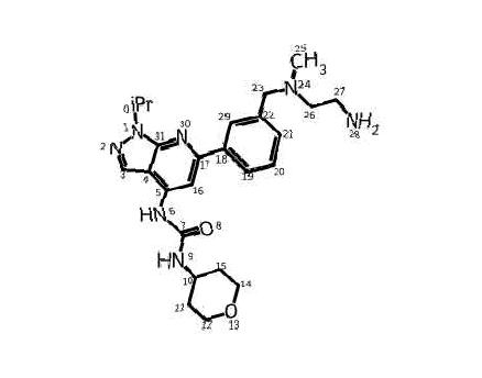 CC(C)n1ncc2c(NC(=O)NC3CCOCC3)cc(-c3cccc(CN(C)CCN)c3)nc21